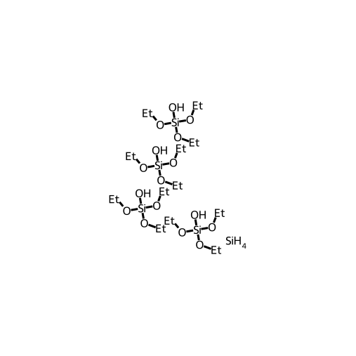 CCO[Si](O)(OCC)OCC.CCO[Si](O)(OCC)OCC.CCO[Si](O)(OCC)OCC.CCO[Si](O)(OCC)OCC.[SiH4]